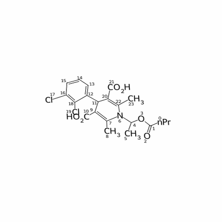 CCCC(=O)OC(C)N1C(C)=C(C(=O)O)C(c2cccc(Cl)c2Cl)C(C(=O)O)=C1C